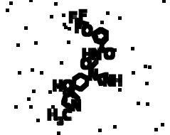 Cc1ccc(C2(O)CCC(N(C(=O)CNC(=O)c3cccc(OCC(F)(F)F)c3)C3CNC3)CC2)cn1